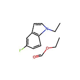 CCOC=O.CCn1ccc2cc(F)ccc21